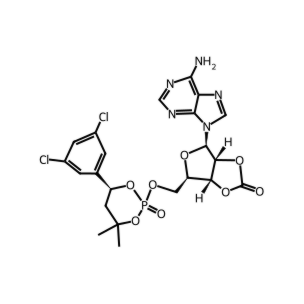 CC1(C)C[C@@H](c2cc(Cl)cc(Cl)c2)OP(=O)(OC[C@H]2O[C@@H](n3cnc4c(N)ncnc43)[C@@H]3OC(=O)O[C@@H]32)O1